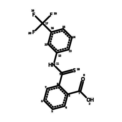 O=C(O)c1ccccc1C(=S)Nc1cccc(C(F)(F)F)c1